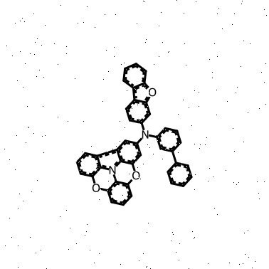 c1ccc(-c2cccc(N(c3ccc4c(c3)oc3ccccc34)c3cc4c5c(c3)c3cccc6c3n5-c3c(cccc3O4)O6)c2)cc1